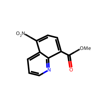 COC(=O)c1ccc([N+](=O)[O-])c2cccnc12